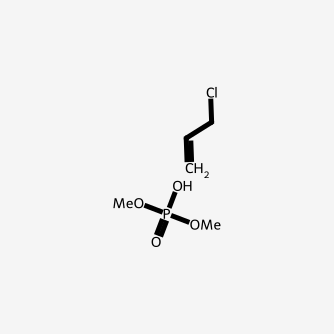 C=CCCl.COP(=O)(O)OC